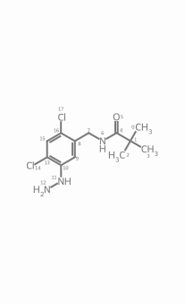 CC(C)(C)C(=O)NCc1cc(NN)c(Cl)cc1Cl